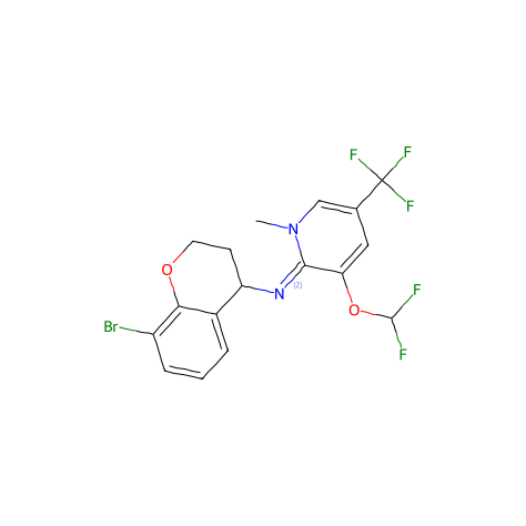 Cn1cc(C(F)(F)F)cc(OC(F)F)/c1=N/C1CCOc2c(Br)cccc21